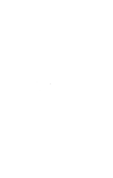 OCCOc1cc(F)c(I)c(F)c1